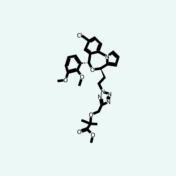 COC(=O)C(C)(C)OCc1nnn(CC[C@H]2O[C@H](c3cccc(OC)c3OC)c3cc(Cl)ccc3-n3cccc32)n1